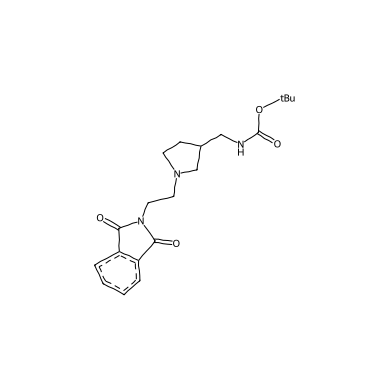 CC(C)(C)OC(=O)NCC1CCN(CCN2C(=O)c3ccccc3C2=O)C1